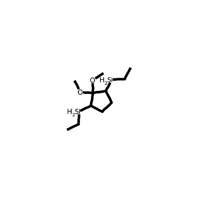 CC[SiH2]C1CCC([SiH2]CC)C1(OC)OC